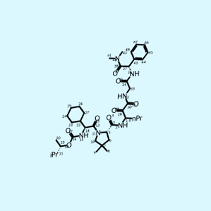 CCCC(NC(=O)[C@@H]1CC(C)(C)CN1C(=O)[C@@H](NC(=O)O[C@@H](C)C(C)C)C1CCCCC1)C(=O)C(=O)NCC(=O)N[C@H](C(=O)N(C)C)c1ccccc1